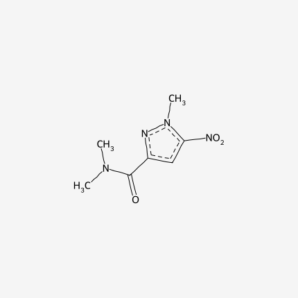 CN(C)C(=O)c1cc([N+](=O)[O-])n(C)n1